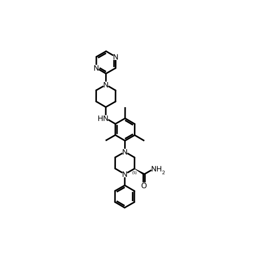 Cc1cc(C)c(N2CCN(c3ccccc3)[C@H](C(N)=O)C2)c(C)c1NC1CCN(c2cnccn2)CC1